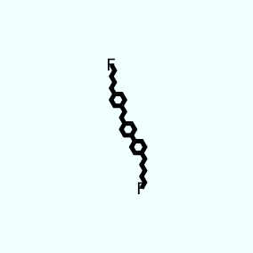 FCCCCCC1CCC(C2CCC(CCC3CCC(CCCCF)CC3)CC2)CC1